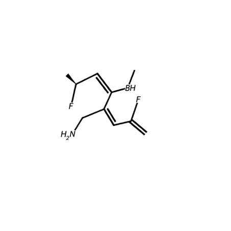 C=C(F)/C=C(CN)\C(BC)=C/[C@H](C)F